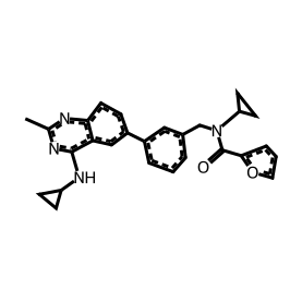 Cc1nc(NC2CC2)c2cc(-c3cccc(CN(C(=O)c4ccco4)C4CC4)c3)ccc2n1